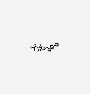 CC1=C(N2C(=O)C3(CCN(CC(O)c4cnc(-n5cnnn5)nc4)CC3)CC2C)COC1=O